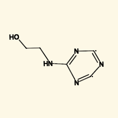 OCCNc1n[c]n[c]n1